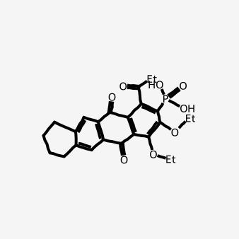 CCOc1c(OCC)c(P(=O)(O)O)c(C(=O)CC)c2c1C(=O)c1cc3c(cc1C2=O)CCCC3